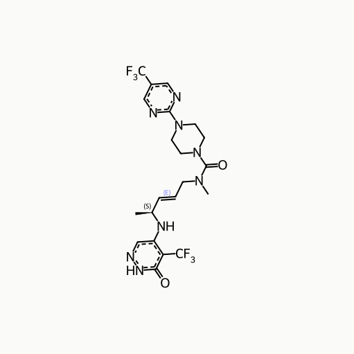 C[C@@H](/C=C/CN(C)C(=O)N1CCN(c2ncc(C(F)(F)F)cn2)CC1)Nc1cn[nH]c(=O)c1C(F)(F)F